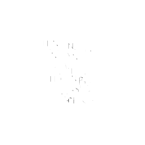 CCOCc1nc2c(N)nc3ccccc3c2n1C[C@@H](C)O[P@](=O)(N[C@@H](C)C(=O)OC(C)C)Oc1ccccc1Cl